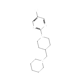 Cc1cnc(N2CCC(CN3CCCCC3)CC2)nc1